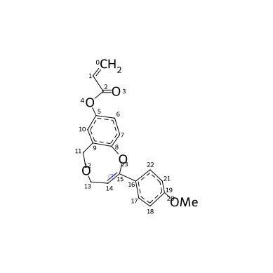 C=CC(=O)Oc1ccc2c(c1)COC/C=C(/c1ccc(OC)cc1)O2